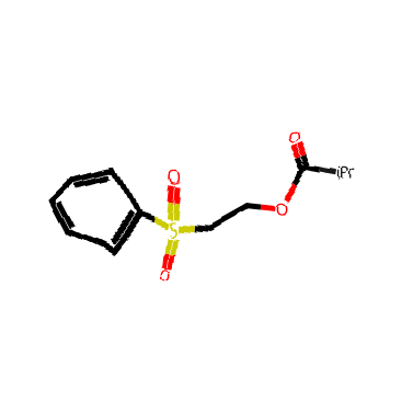 CC(C)C(=O)OCCS(=O)(=O)c1ccccc1